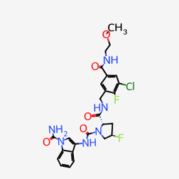 COCCNC(=O)c1cc(Cl)c(F)c(CNC(=O)[C@@H]2C[C@@H](F)CN2C(=O)Nc2cn(C(N)=O)c3ccccc23)c1